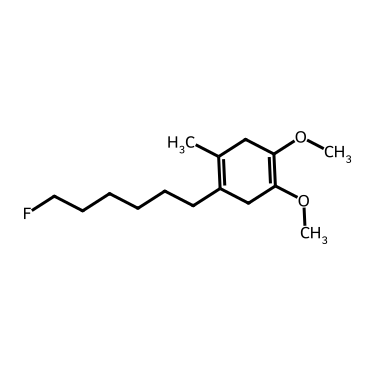 COC1=C(OC)CC(CCCCCCF)=C(C)C1